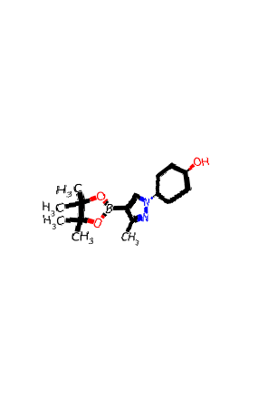 Cc1nn([C@H]2CC[C@H](O)CC2)cc1B1OC(C)(C)C(C)(C)O1